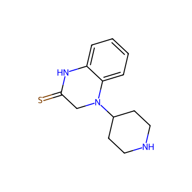 S=C1CN(C2CCNCC2)c2ccccc2N1